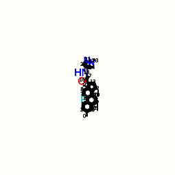 C[C@H]1CC[C@]2(F)C3CC[C@@]4(C)C(CC[C@@H]4C(=O)CNc4cnn(C)c4)[C@@H]3CC[C@@H]2C1